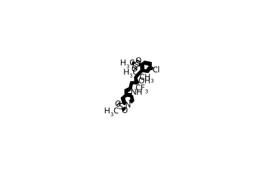 CC(C)(CC(O)(Cc1cc2cc(S(C)(=O)=O)ncc2[nH]1)C(F)(F)F)c1cc(Cl)ccc1S(C)(=O)=O